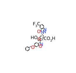 O=C(CC(CCn1nnc2ccc(C(F)(F)F)cc2c1=O)(C(=O)O)C(=O)O)c1noc2cc(OCc3ccccc3)ccc12